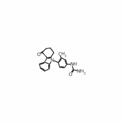 Cc1cc(NC(N)=O)ccc1-n1c2c(c3ccccc31)C(=O)CCC2